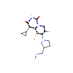 CNCC1CCN(c2c(F)cn3c(=O)n(N)c(=O)c(C4CC4)c3c2OC)C1